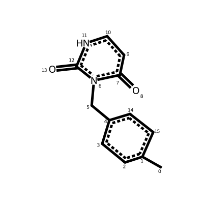 Cc1ccc(Cn2c(=O)cc[nH]c2=O)cc1